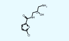 NC[C@@H](O)CNC(=O)c1ccc(Cl)s1